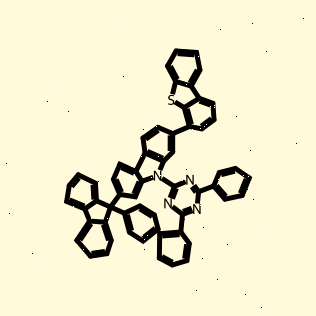 c1ccc(-c2nc(-c3ccccc3)nc(-n3c4cc(-c5cccc6c5sc5ccccc56)ccc4c4ccc(C5(c6ccccc6)c6ccccc6-c6ccccc65)cc43)n2)cc1